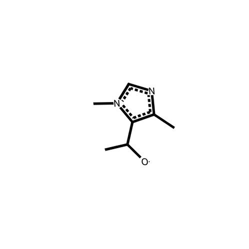 Cc1ncn(C)c1C(C)[O]